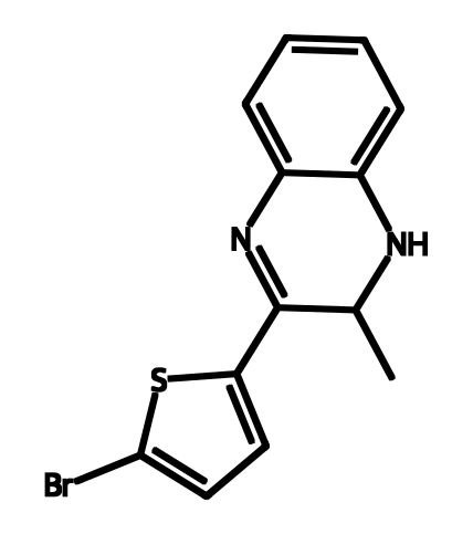 CC1Nc2ccccc2N=C1c1ccc(Br)s1